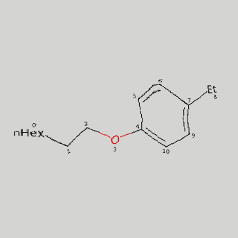 CCCCCCCCOc1ccc(CC)cc1